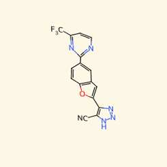 N#Cc1[nH]nnc1-c1cc2cc(-c3nccc(C(F)(F)F)n3)ccc2o1